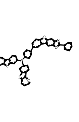 c1ccc(-c2nc3cc4oc5ccc(-c6ccc(N(c7ccc8c(c7)sc7ccccc78)c7ccc8c(c7)sc7ccccc78)cc6)cc5c4cc3o2)cc1